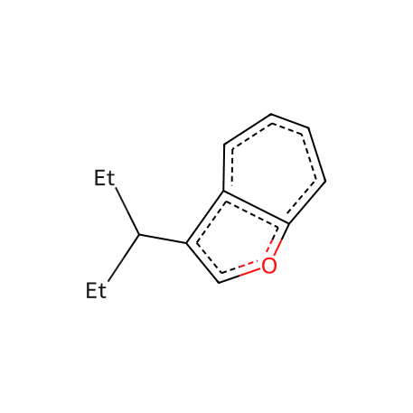 CCC(CC)c1coc2ccccc12